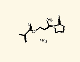 C=C(C)C(=O)OCCC(N)N1CCCC1=O.Cl